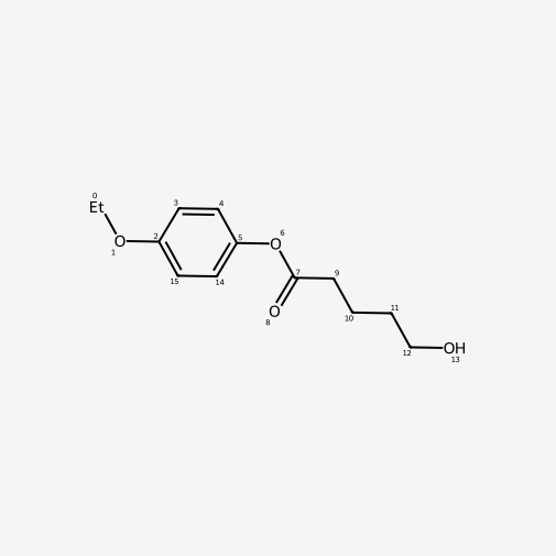 CCOc1ccc(OC(=O)CCCCO)cc1